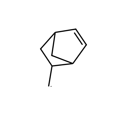 [CH2]C1CC2C=CC1C2